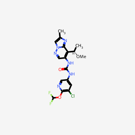 CO[C@@H](C)c1c(NC(=O)Nc2cnc(OC(F)F)c(Cl)c2)cnn2cc(C)nc12